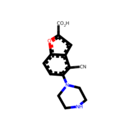 N#Cc1c(N2CCNCC2)ccc2oc(C(=O)O)cc12